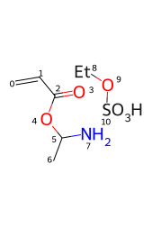 C=CC(=O)OC(C)N.CCOS(=O)(=O)O